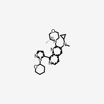 C[C@@H]1COCCN1c1nc2c(-c3ccnn3C3CCCCO3)nccc2cc1N(C)C1CC1